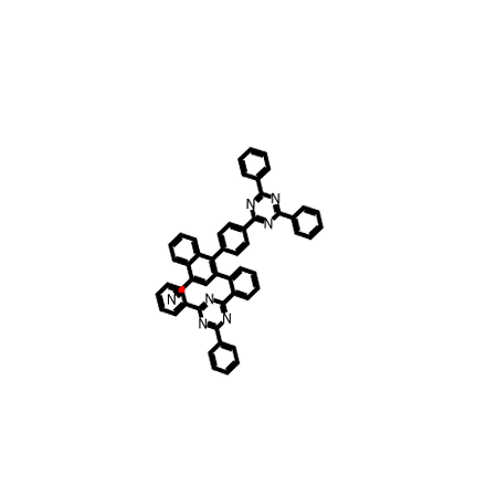 N#Cc1cc(-c2ccccc2-c2nc(-c3ccccc3)nc(-c3ccccc3)n2)c(-c2ccc(-c3nc(-c4ccccc4)nc(-c4ccccc4)n3)cc2)c2ccccc12